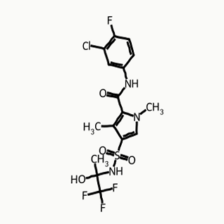 Cc1c(S(=O)(=O)NC(C)(O)C(F)(F)F)cn(C)c1C(=O)Nc1ccc(F)c(Cl)c1